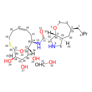 CC(C)C[C@@H]1CCO[C@@H]2[C@H](CN[C@@H]2C(=O)N[C@@H]2CC=CCCS[C@H]3O[C@H]2[C@H](O)[C@H](O)[C@H]3O)C1.O=CO